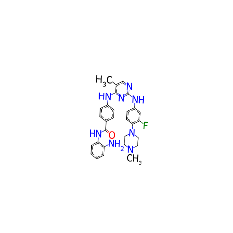 Cc1cnc(Nc2ccc(N3CCN(C)CC3)c(F)c2)nc1Nc1ccc(C(=O)Nc2ccccc2N)cc1